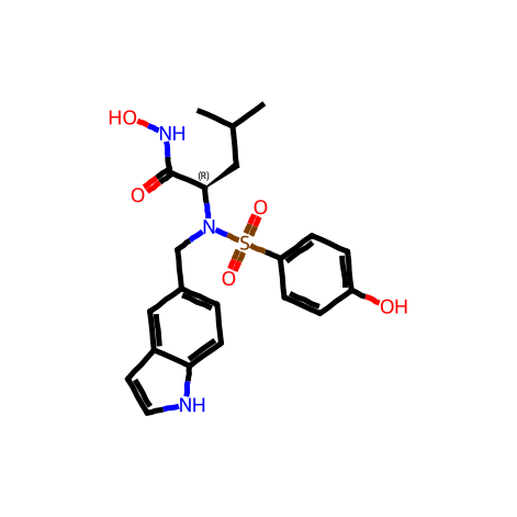 CC(C)C[C@H](C(=O)NO)N(Cc1ccc2[nH]ccc2c1)S(=O)(=O)c1ccc(O)cc1